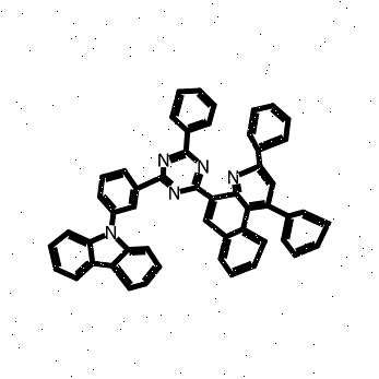 c1ccc(-c2cc(-c3ccccc3)c3c(n2)c(-c2nc(-c4ccccc4)nc(-c4cccc(-n5c6ccccc6c6ccccc65)c4)n2)cc2ccccc23)cc1